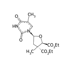 CCOC(=O)[C@@H]1O[C@H](n2cc(C)c(=O)[nH]c2=O)C[C@@]1(C)C(=O)OCC